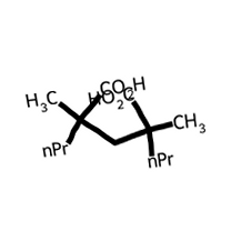 CCCC(C)(CC(C)(CCC)C(=O)O)C(=O)O